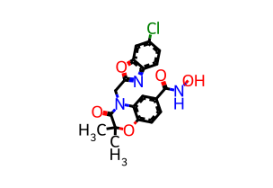 CC1(C)Oc2ccc(C(=O)NO)cc2N(Cc2nc3ccc(Cl)cc3o2)C1=O